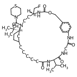 CC(C)C1NC(=O)CCCCCC2CC[C@](C(C)(C)C)(C2)N(C(=O)N2CCSCC2)CC[C@H](CF)NC(=O)OCc2ccc(cc2)NC(=O)CNC1=O